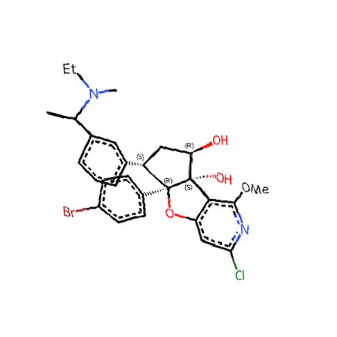 CCN(C)C(C)c1cccc([C@@H]2C[C@@H](O)[C@@]3(O)c4c(cc(Cl)nc4OC)O[C@@]23c2ccc(Br)cc2)c1